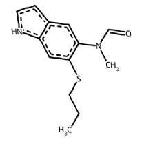 CCCSc1cc2[nH]ccc2cc1N(C)C=O